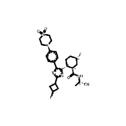 C[C@@H](C#N)NC(=O)[C@@H]1C[C@@H](F)CC[C@H]1c1nc(C2CC(F)C2)sc1-c1ccc(N2CCS(=O)(=O)CC2)cc1